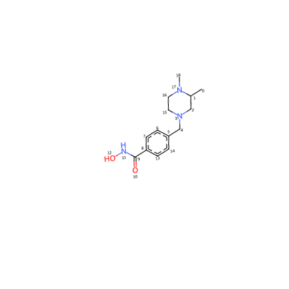 CC1CN(Cc2ccc(C(=O)NO)cc2)CCN1C